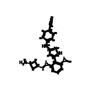 COc1cccc(OC[C@H]2C[C@@H](N)C2)c1-c1cc(Nc2cnc(C#N)cn2)n[nH]1